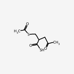 CC(=O)CC(CSC(C)=O)C(=O)S